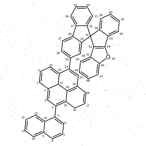 C1=CC2=CC(c3cccc4ccccc34)=C3CC=CC4=C3C2C(=C1)C(c1ccc2c(c1)C1(c3ccccc3-2)c2ccccc2-c2oc3ccccc3c21)=C4